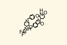 O=C1CCC(N2Cc3cc(O[C@@H]4CN(Cc5ccccc5)CC[C@H]4NCC(F)(F)F)ccc3C2=O)C(=O)N1